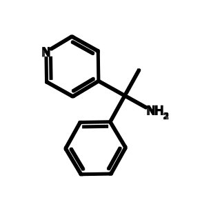 CC(N)(c1ccccc1)c1ccncc1